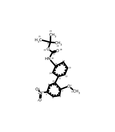 COc1ccc([N+](=O)[O-])cc1-c1cccc(NC(=O)OC(C)(C)C)c1